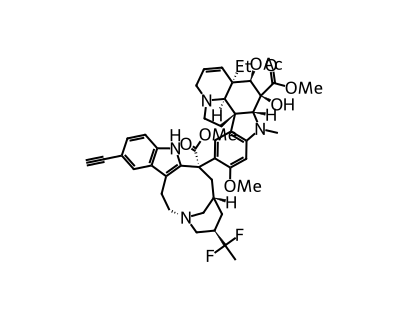 C#Cc1ccc2[nH]c3c(c2c1)CC[N@]1C[C@@H](C[C@@H](C(C)(F)F)C1)C[C@]3(C(=O)OC)c1cc2c(cc1OC)N(C)[C@H]1[C@@](O)(C(=O)OC)[C@H](OC(C)=O)[C@]3(CC)C=CCN4CC[C@]21[C@@H]43